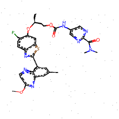 COc1cnc2c(-c3nc4cc(F)c(O[C@@H](C)COC(=O)Nc5cnc(C(=O)N(C)C)nc5)cc4s3)cc(C)cc2n1